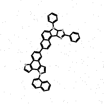 c1ccc(C2=NC3c4c(ccc5cc(-c6ccc7c(c6)c6ccn(-c8cccc9ccccc89)c6c6ccsc76)ccc45)N(c4ccccc4)C3S2)cc1